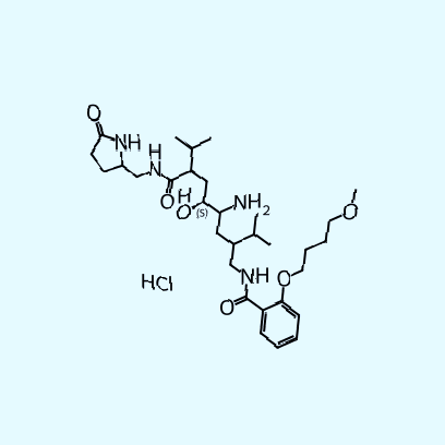 COCCCCOc1ccccc1C(=O)NCC(CC(N)[C@@H](O)CC(C(=O)NCC1CCC(=O)N1)C(C)C)C(C)C.Cl